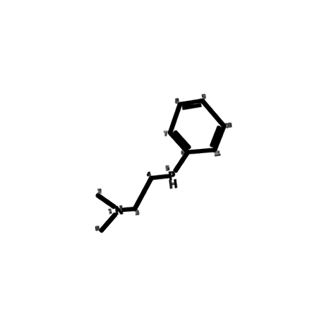 CN(C)CCPc1ccccc1